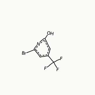 Oc1cc(C(F)(F)F)cc(Br)n1